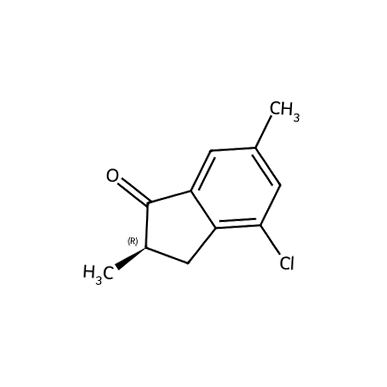 Cc1cc(Cl)c2c(c1)C(=O)[C@H](C)C2